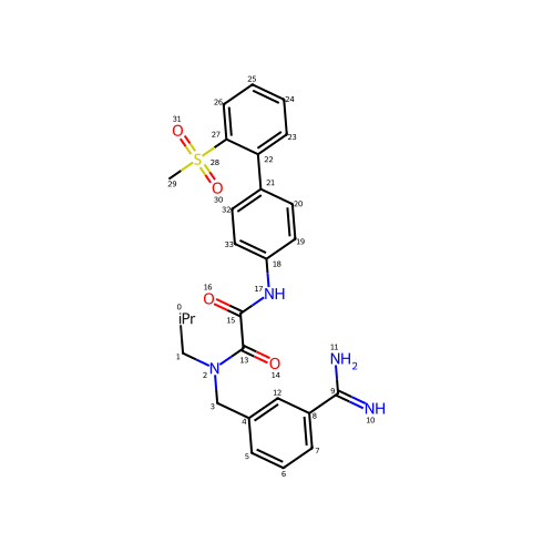 CC(C)CN(Cc1cccc(C(=N)N)c1)C(=O)C(=O)Nc1ccc(-c2ccccc2S(C)(=O)=O)cc1